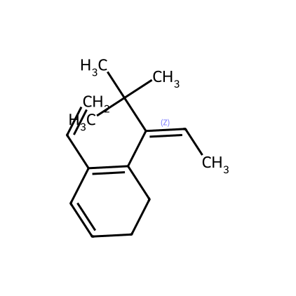 C=CC1=C(/C(=C\C)C(C)(C)C)CCC=C1